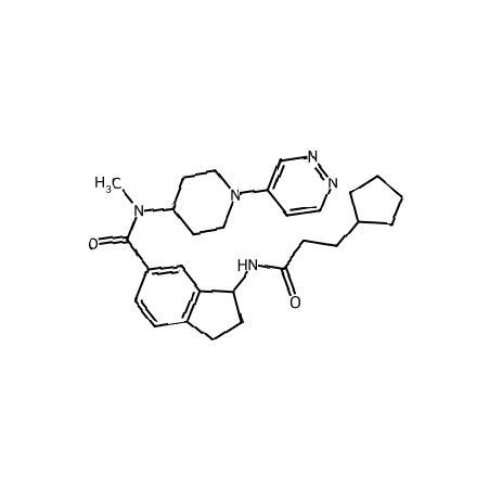 CN(C(=O)c1ccc2c(c1)C(NC(=O)CCC1CCCC1)CC2)C1CCN(c2ccnnc2)CC1